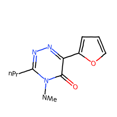 CCCc1nnc(-c2ccco2)c(=O)n1NC